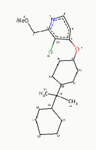 COCc1nccc(OC2CCC(C(C)(C)C3CCCCC3)CC2)c1Cl